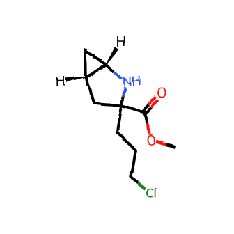 COC(=O)C1(CCCCl)C[C@@H]2C[C@@H]2N1